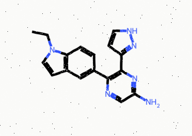 CCn1ccc2cc(-c3ncc(N)nc3-c3cc[nH]n3)ccc21